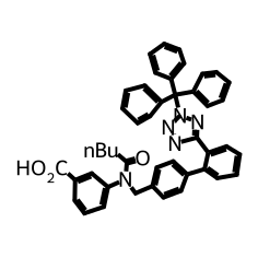 CCCCC(=O)N(Cc1ccc(-c2ccccc2-c2nnn(C(c3ccccc3)(c3ccccc3)c3ccccc3)n2)cc1)c1cccc(C(=O)O)c1